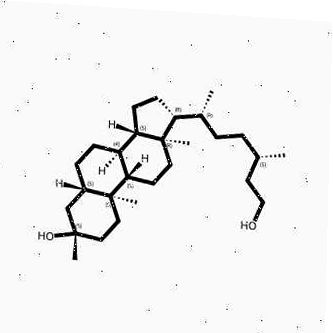 C[C@H](CCO)CC[C@@H](C)[C@H]1CC[C@H]2[C@@H]3CC[C@H]4C[C@@](C)(O)CC[C@]4(C)[C@H]3CC[C@]12C